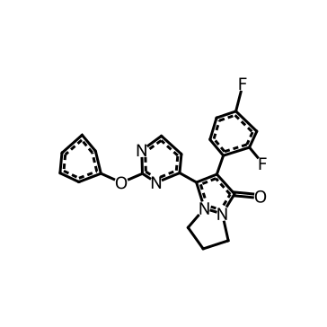 O=c1c(-c2ccc(F)cc2F)c(-c2ccnc(Oc3ccccc3)n2)n2n1CCC2